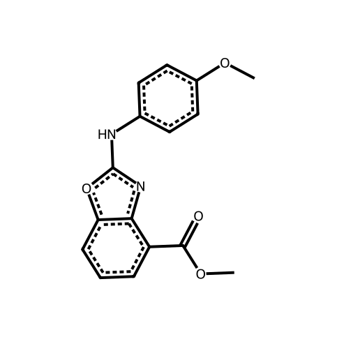 COC(=O)c1cccc2oc(Nc3ccc(OC)cc3)nc12